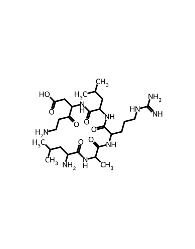 CC(C)CC(N)C(=O)NC(C)C(=O)NC(CCCNC(=N)N)C(=O)NC(CC(C)C)C(=O)NC(CC(=O)O)C(=O)CCN